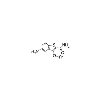 CC(C)Oc1c(C(N)=O)sc2ccc(N)cc12